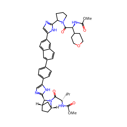 COC(=O)N[C@H](C(=O)N1[C@@H]2CC[C@@H](C2)[C@H]1c1ncc(-c2ccc(-c3ccc4cc(-c5cnc(C6CCCN6C(=O)[C@@H](NC(=O)OC)C6CCOCC6)[nH]5)ccc4c3)cc2)[nH]1)C(C)C